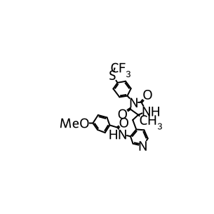 COc1ccc(C(=O)Nc2cnccc2CC2(C)NC(=O)N(c3ccc(SC(F)(F)F)cc3)C2=O)cc1